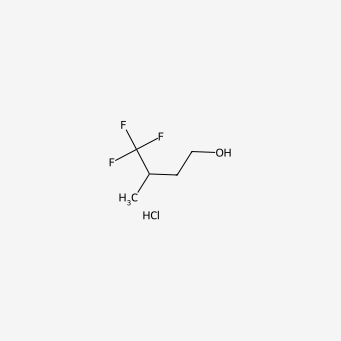 CC(CCO)C(F)(F)F.Cl